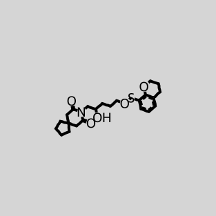 O=C1CC2(CCCC2)CC(=O)N1CC(O)CCCOSc1cccc2c1OCCC2